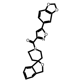 O=C(c1cc(-c2ccc3c(c2)OCO3)on1)N1CCC2(CC1)OCc1ccccc12